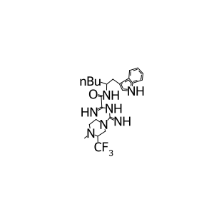 CCCCC(Cc1c[nH]c2ccccc12)NC(=O)C(=N)NC(=N)N1CCN(C)C(C(F)(F)F)C1